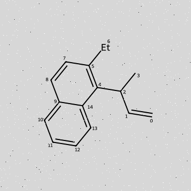 C=CC(C)c1c(CC)ccc2ccccc12